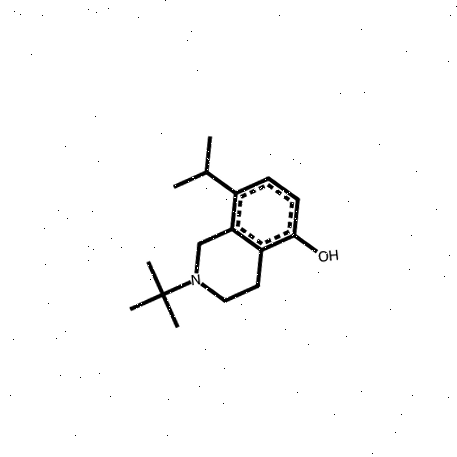 CC(C)c1ccc(O)c2c1CN(C(C)(C)C)CC2